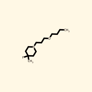 CCCCOCCCN1CCC(C)(F)CC1